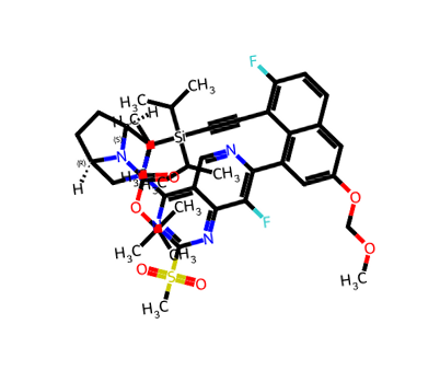 COCOc1cc(-c2ncc3c(N4C[C@H]5CC[C@@H](C4)N5C(=O)OC(C)(C)C)nc(S(C)(=O)=O)nc3c2F)c2c(C#C[Si](C(C)C)(C(C)C)C(C)C)c(F)ccc2c1